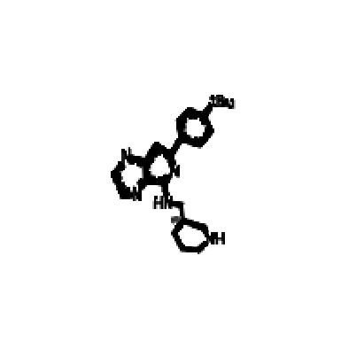 CC(C)(C)c1ccc(-c2cc3nccnc3c(NC[C@@H]3CCCNC3)n2)cc1